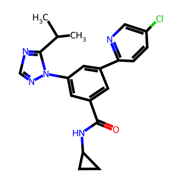 CC(C)c1ncnn1-c1cc(C(=O)NC2CC2)cc(-c2ccc(Cl)cn2)c1